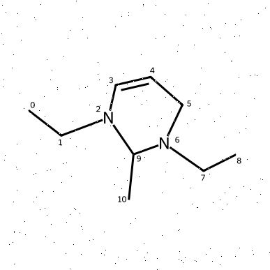 CCN1C=CCN(CC)C1C